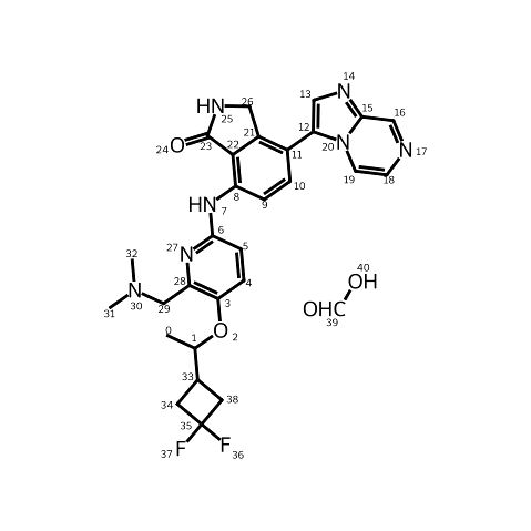 CC(Oc1ccc(Nc2ccc(-c3cnc4cnccn34)c3c2C(=O)NC3)nc1CN(C)C)C1CC(F)(F)C1.O=CO